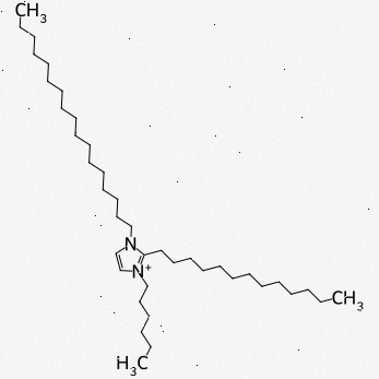 CCCCCCCCCCCCCCCCCn1cc[n+](CCCCCC)c1CCCCCCCCCCCCC